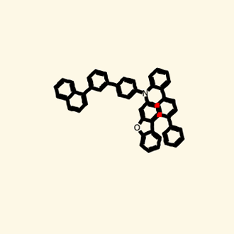 c1ccc(-c2ccc(-c3ccccc3N(c3ccc(-c4cccc(-c5cccc6ccccc56)c4)cc3)c3ccc4c(c3)oc3ccccc34)cc2)cc1